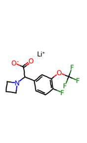 O=C([O-])C(c1ccc(F)c(OC(F)(F)F)c1)N1CCC1.[Li+]